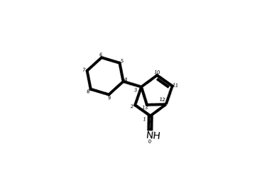 N=C1CC2(C3CCCCC3)C=CC1C2